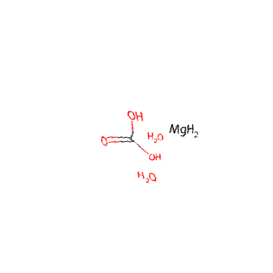 O.O.O=C(O)O.[MgH2]